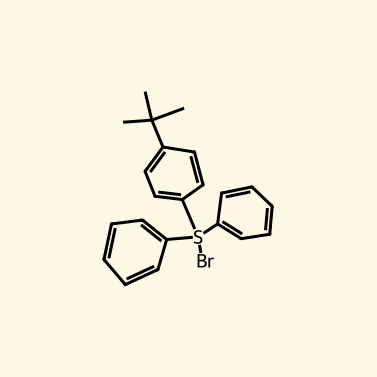 CC(C)(C)c1ccc(S(Br)(c2ccccc2)c2ccccc2)cc1